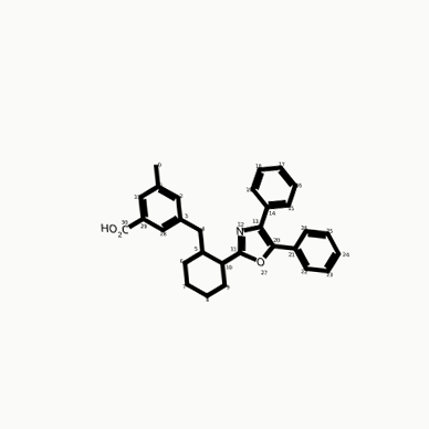 Cc1cc(CC2CCCCC2c2nc(-c3ccccc3)c(-c3ccccc3)o2)cc(C(=O)O)c1